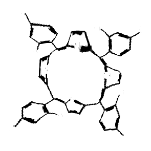 Clc1ccc(-c2c3nc(c(-c4ccc(Cl)cc4Cl)c4ccc([nH]4)c(-c4ccc(Cl)cc4Cl)c4nc(c(-c5ccc(Cl)cc5Cl)c5ccc2[nH]5)C=C4)C=C3)c(Cl)c1